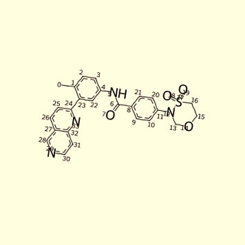 Cc1ccc(NC(=O)c2ccc(N3COCCS3(=O)=O)cc2)cc1-c1ccc2cnccc2n1